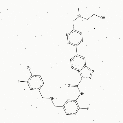 CN(CCO)Cc1ccc(-c2ccn3c(C(=O)Nc4cc(CNCc5ccc(F)c(F)c5)ccc4F)cnc3c2)cn1